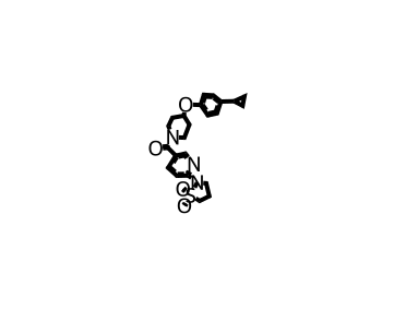 O=C(c1ccc(N2CCCS2(=O)=O)nc1)N1CCC(Oc2ccc(C3CC3)cc2)CC1